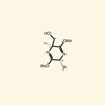 COC1=N[C@@](C)(CO)C(OC)=N[C@@H]1C(C)C